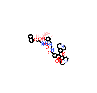 BB(B)c1ccc(CN(CCNC(=O)c2ccc(C(=O)O)c(C3=c4cc5c6c(c4Oc4c3cc3c7c4CCCN7CCCC3)CCC[N+]=6CCCC5)c2)C(=O)CCNC[C@H](O)COc2cccc3ccccc23)c(N=[N+]=[N-])c1